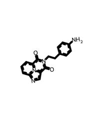 Nc1ccc(CCn2c(=O)c3cccc4ncc(c2=O)n43)cc1